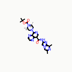 Cc1cn2cc(NC(=O)c3cnc(N4C[C@@H](C)N(C(=O)OC(C)(C)C)[C@@H](C)C4)c4nccnc34)nc2c(C)n1